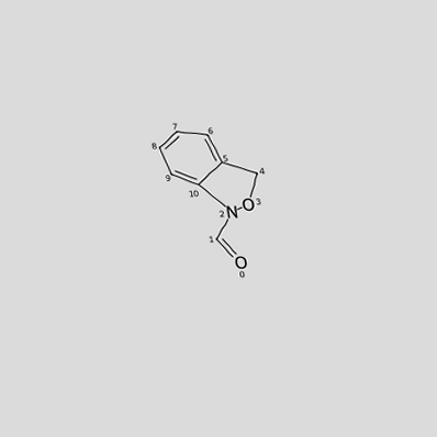 O=CN1OCc2ccccc21